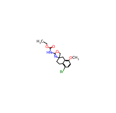 CCOC(=O)NC1=NC2(CCc3c(Br)ccc(OC)c3C2)CO1